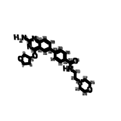 Nc1nc(O[C@@H]2CCOC2)c2cc(-c3ccc(C(=O)NCCN4CCOCC4)cc3)ccc2n1